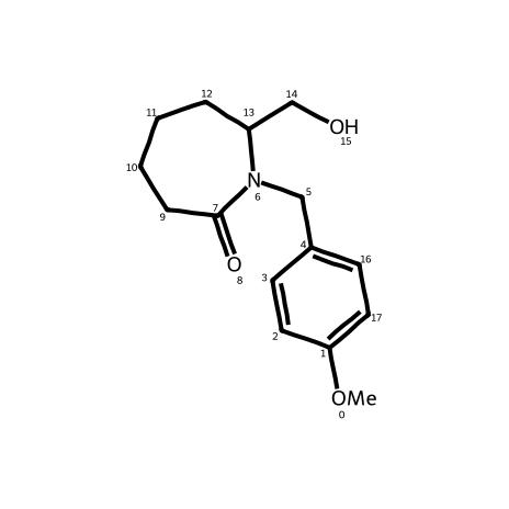 COc1ccc(CN2C(=O)CCCCC2CO)cc1